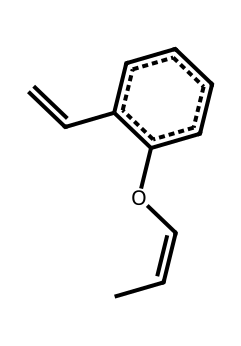 C=Cc1ccccc1O/C=C\C